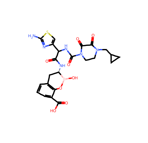 Nc1nc(C(NC(=O)N2CCN(CC3CC3)C(=O)C2=O)C(=O)N[C@H]2Cc3cccc(C(=O)O)c3OB2O)cs1